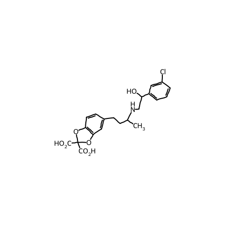 CC(CCc1ccc2c(c1)OC(C(=O)O)(C(=O)O)O2)NCC(O)c1cccc(Cl)c1